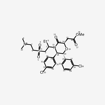 CCC(CS(=O)(=O)CCN(C)C)N1C(=O)[C@@H](CC(=O)OC)O[C@H](c2cccc(Cl)c2)[C@H]1c1ccc(Cl)cc1